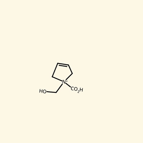 O=C(O)[N+]1(CO)CC=CC1